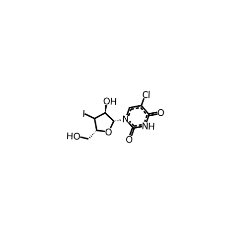 O=c1[nH]c(=O)n([C@@H]2O[C@H](CO)C(I)[C@H]2O)cc1Cl